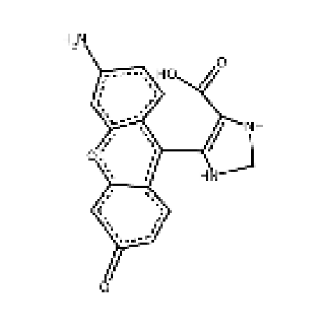 Nc1ccc2c(C3=C(C(=O)O)NCN3)c3ccc(=O)cc-3oc2c1